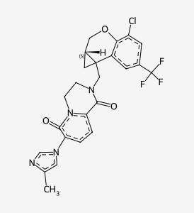 Cc1cn(-c2ccc3n(c2=O)CCN(CC24C[C@@H]2COc2c(Cl)cc(C(F)(F)F)cc24)C3=O)cn1